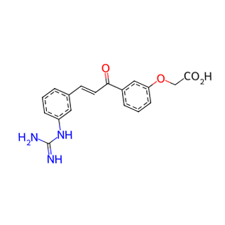 N=C(N)Nc1cccc(C=CC(=O)c2cccc(OCC(=O)O)c2)c1